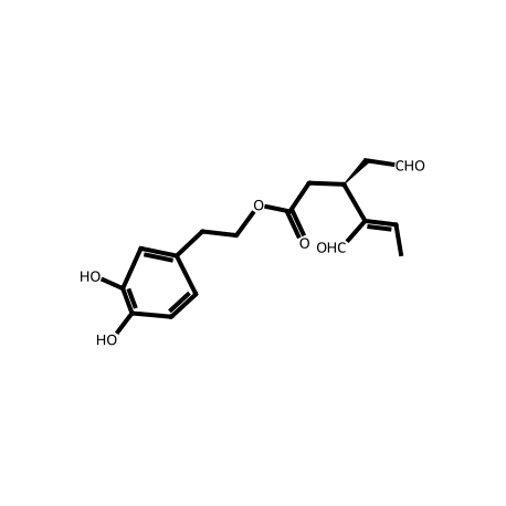 C/C=C(\C=O)[C@H](CC=O)CC(=O)OCCc1ccc(O)c(O)c1